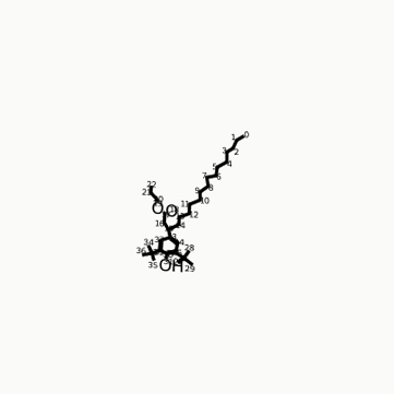 CCCCCCCCCCCCCCCC(CC(=O)OCCC)c1cc(C(C)(C)C)c(O)c(C(C)(C)C)c1